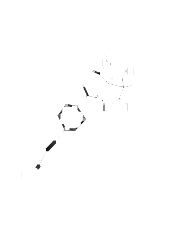 C#CC#Cc1ccc(C(=O)N[C@H](C(=O)NO)C(C)(O)C(F)F)cc1